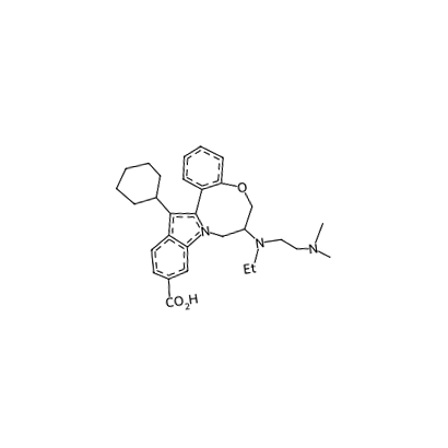 CCN(CCN(C)C)C1COc2ccccc2-c2c(C3CCCCC3)c3ccc(C(=O)O)cc3n2C1